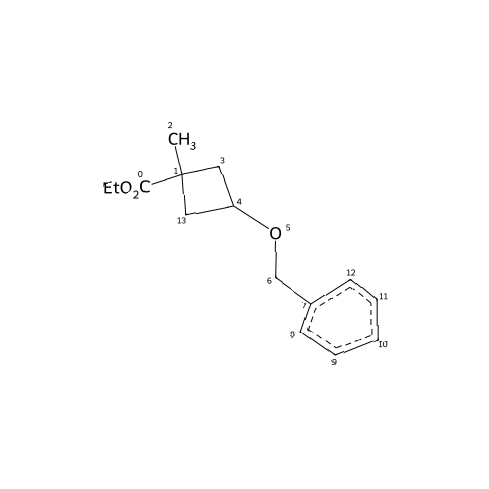 CCOC(=O)C1(C)CC(OCc2ccccc2)C1